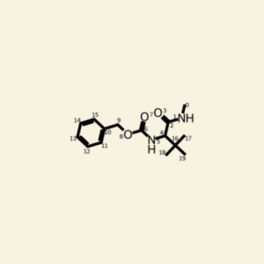 CNC(=O)C(NC(=O)OCc1ccccc1)C(C)(C)C